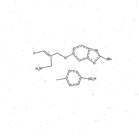 CCCCc1nc2ccc(OC/C(=C/F)CN)cc2o1.Cc1ccc(S(=O)(=O)O)cc1